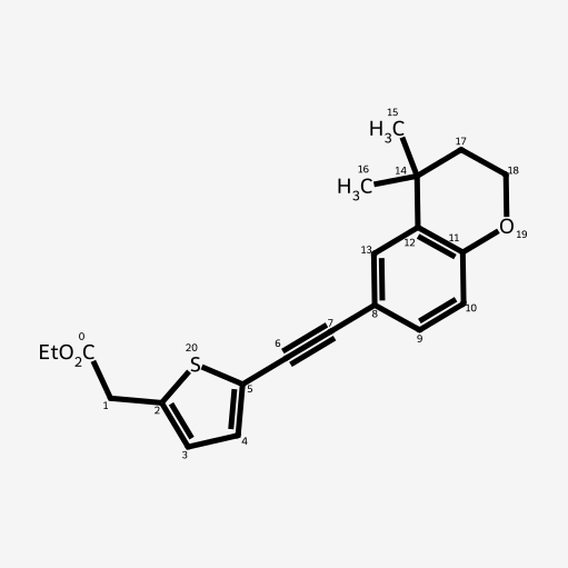 CCOC(=O)Cc1ccc(C#Cc2ccc3c(c2)C(C)(C)CCO3)s1